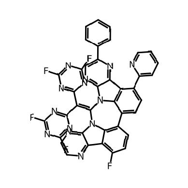 Fc1nc(F)nc(C(c2nc(F)nc(F)n2)=c2n3c4nccnc4c4c(F)ccc(c5ccc(-c6ccccn6)c6c7nc(-c8ccccc8)cnc7n2c56)c43)n1